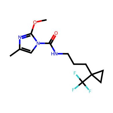 COc1nc(C)cn1C(=O)NCCCC1(C(F)(F)F)CC1